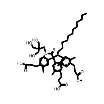 CCCCCCCCCCCCC(c1cc(C)c(CCC(=O)O)cc1C)C(C(=S)OCC(CO)(CO)CO)(c1cc(C)c(CCC(=O)O)cc1C)c1cc(C)c(CCC(=O)O)cc1C